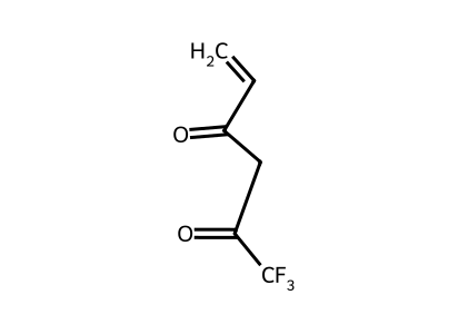 C=CC(=O)CC(=O)C(F)(F)F